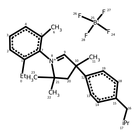 CCc1cccc(C)c1[N+]1=CC(C)(c2ccc(CC(C)C)cc2)CC1(C)C.F[B-](F)(F)F